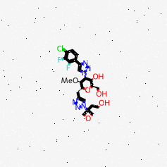 CO[C@@H]1[C@@H](n2cc(-c3ccc(Cl)c(F)c3F)nn2)[C@@H](O)[C@@H](CO)O[C@@H]1Cc1cn(C2(CCO)COC2)nn1